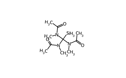 CC(=O)N(C)C([SiH3])(N(C)C(C)=O)N(C)C(C)=O